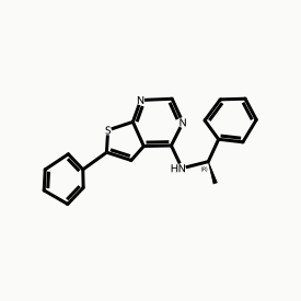 C[C@@H](Nc1ncnc2sc(-c3ccccc3)cc12)c1ccccc1